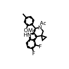 COc1cc(C)ccc1C1c2[nH]c3ccc(F)c(F)c3c2C2(CC2)CN1C(C)=O